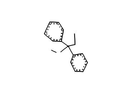 [SiH3]OC(CS)(c1ccccc1)c1ccccc1